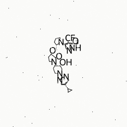 O=C1[C@H](OC[C@@H]2CCCN2c2cn[nH]c(=O)c2C(F)(F)F)CCN1[C@@H]1CCN(c2ncc(C3CC3)cn2)C[C@H]1O